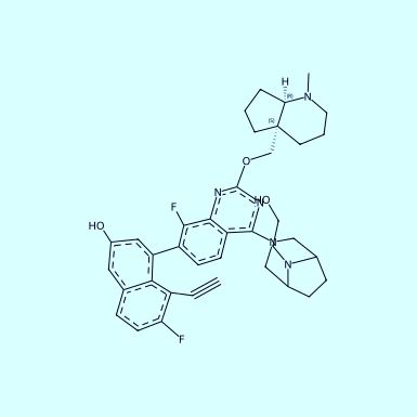 C#Cc1c(F)ccc2cc(O)cc(-c3ccc4c(N5CC6CCC(C5)N6CCO)nc(OC[C@]56CCC[C@H]5N(C)CCC6)nc4c3F)c12